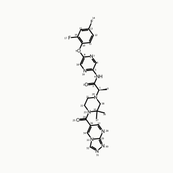 C[C@H](C(=O)Nc1cnc(Oc2ccc(F)cc2F)cn1)N1CCN(C(=O)c2cnc3nncn3c2)C(C)(C)C1